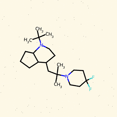 CC(C)(C)N1CCC(CC(C)(C)N2CCC(F)(F)CC2)C2CCCC21